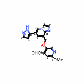 COc1cc(C=O)c(OCc2cc(-c3ccn[nH]3)cn3ccnc23)cn1